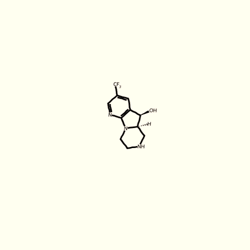 O[C@@H]1c2cc(C(F)(F)F)cnc2N2CCNC[C@H]12